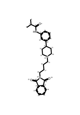 CC(C)C(=O)Nc1cccc(C2CCN(CCCCN3C(=O)c4ccccc4C3=O)CC2)c1